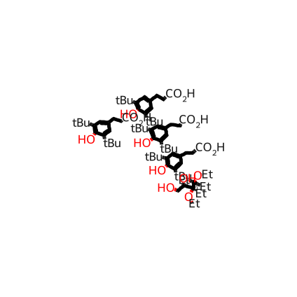 CC(C)(C)c1cc(CCC(=O)O)cc(C(C)(C)C)c1O.CC(C)(C)c1cc(CCC(=O)O)cc(C(C)(C)C)c1O.CC(C)(C)c1cc(CCC(=O)O)cc(C(C)(C)C)c1O.CC(C)(C)c1cc(CCC(=O)O)cc(C(C)(C)C)c1O.CCOC(CC)(CC)[C@](CC)(OCC)[C@H](O)CO